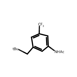 CC(=O)Nc1cc(CC(C)(C)C)cc(C(F)(F)F)c1